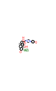 COc1ccc(N2CCN(CC(=O)[C@@]3(O)CC[C@H]4[C@@H]5CCC6=CC(=O)C=C[C@]6(C)[C@H]5C(O)C[C@@]43C)CC2)cc1.Cl.Cl